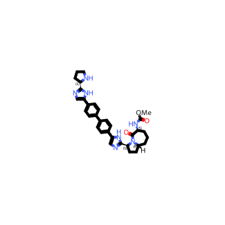 COC(=O)N[C@H]1CCC[C@@H]2CC[C@@H](c3ncc(-c4ccc(-c5ccc(-c6cnc([C@@H]7CCCN7)[nH]6)cc5)cc4)[nH]3)N2C1=O